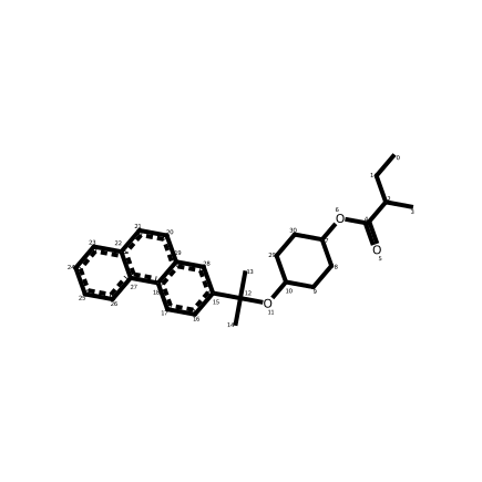 CCC(C)C(=O)OC1CCC(OC(C)(C)c2ccc3c(ccc4ccccc43)c2)CC1